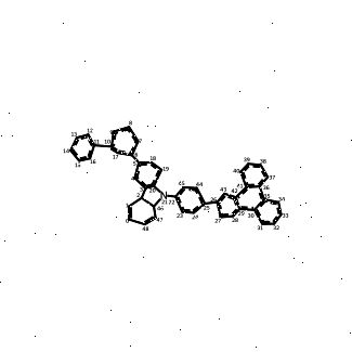 C1=CC2c3cc(-c4cccc(-c5ccccc5)c4)ccc3N(c3ccc(-c4ccc5c6ccccc6c6ccccc6c5c4)cc3)C2C=C1